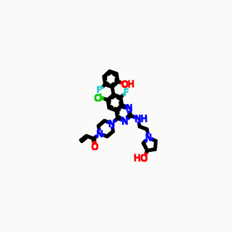 C=CC(=O)N1CCN(c2nc(NCCN3CCC(O)C3)nc3c(F)c(-c4c(O)cccc4F)c(Cl)cc23)CC1